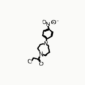 O=C(CCl)N1CCCN(c2ccc([N+](=O)[O-])cc2)CC1